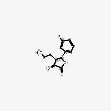 C=C1C(=O)O[C@H](c2cccc(F)c2)[C@@H]1CCC